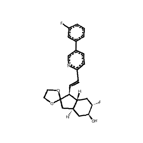 O[C@H]1C[C@H]2CC3(OCCO3)[C@@H](/C=C/c3ccc(-c4cccc(F)c4)cn3)[C@@H]2C[C@@H]1F